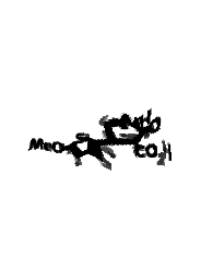 COc1ccc([C@H]2CNC(=O)[C@@H]2C(=O)O)s1